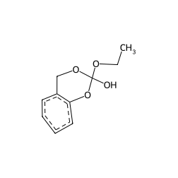 CCOC1(O)OCc2ccccc2O1